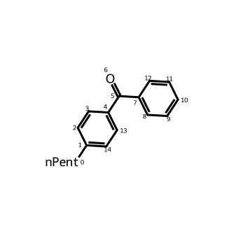 [CH2]CCCCc1ccc(C(=O)c2ccccc2)cc1